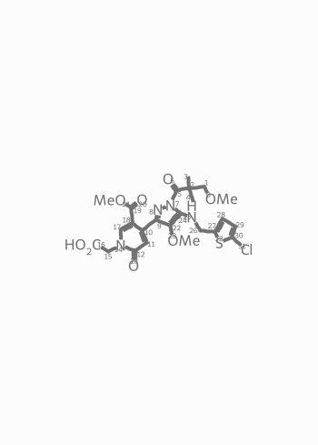 COCC(C)(C)C(=O)n1nc(-c2cc(=O)n(CC(=O)O)cc2C(=O)OC)c(OC)c1NCc1ccc(Cl)s1